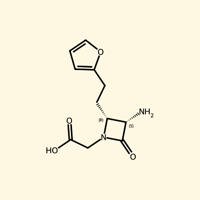 N[C@@H]1C(=O)N(CC(=O)O)[C@@H]1CCc1ccco1